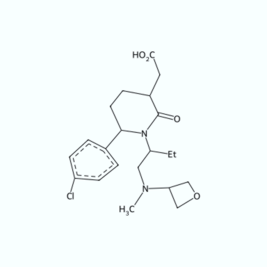 CCC(CN(C)C1COC1)N1C(=O)C(CC(=O)O)CCC1c1ccc(Cl)cc1